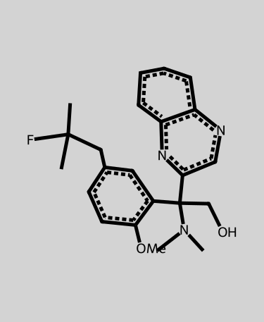 COc1ccc(CC(C)(C)F)cc1C(CO)(c1cnc2ccccc2n1)N(C)C